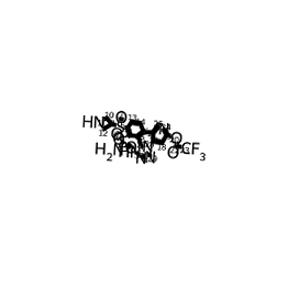 NS(=O)(=O)c1c(S(=O)(=O)C2CNC2)ccc(-c2ccc(OC(=O)C(F)(F)F)nc2)c1-c1nnn[nH]1